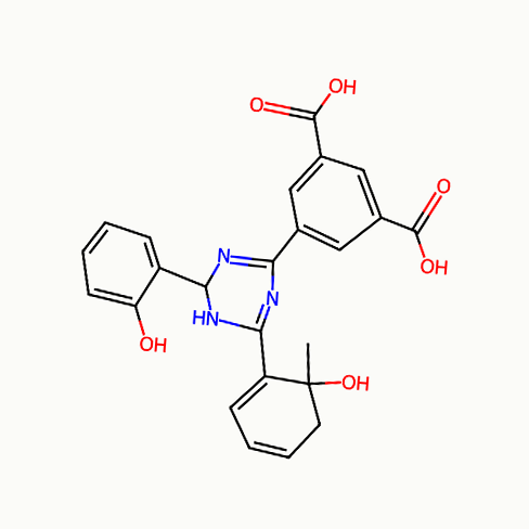 CC1(O)CC=CC=C1C1=NC(c2cc(C(=O)O)cc(C(=O)O)c2)=NC(c2ccccc2O)N1